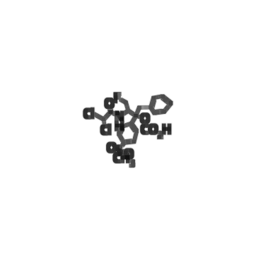 CS(=O)(=O)c1ccc(C(Cc2ccccc2)(OC(=O)O)C(CF)NC(=O)C(Cl)Cl)cc1